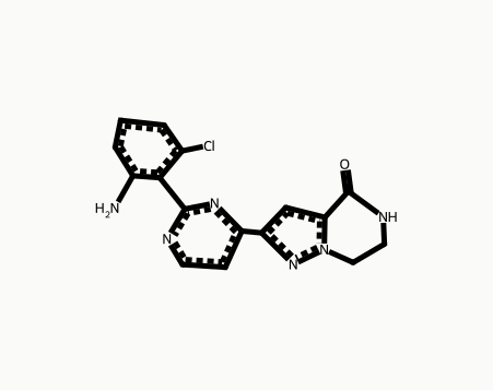 Nc1cccc(Cl)c1-c1nccc(-c2cc3n(n2)CCNC3=O)n1